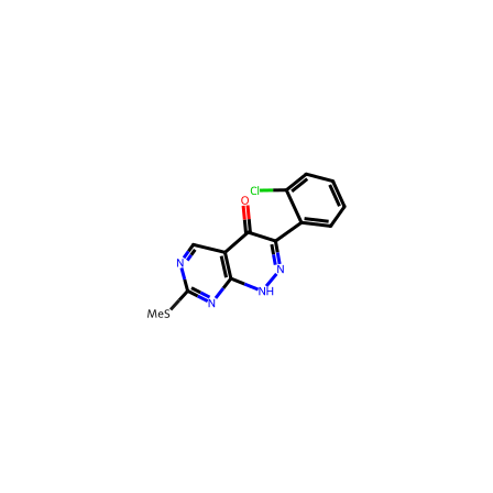 CSc1ncc2c(=O)c(-c3ccccc3Cl)n[nH]c2n1